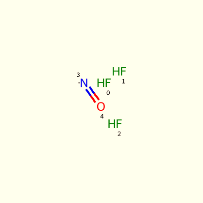 F.F.F.[N]=O